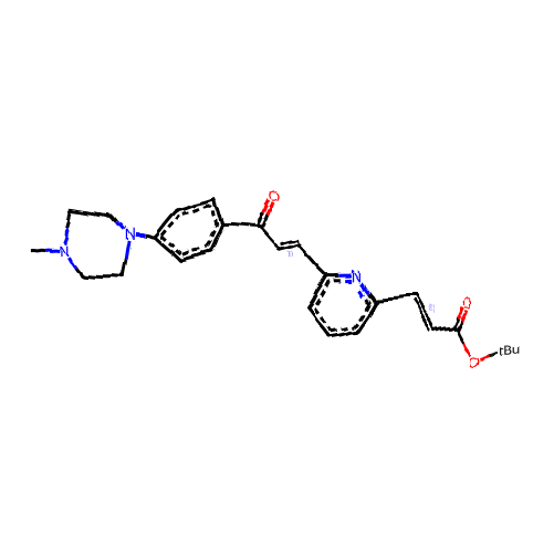 CN1CCN(c2ccc(C(=O)/C=C/c3cccc(/C=C/C(=O)OC(C)(C)C)n3)cc2)CC1